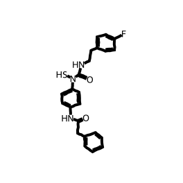 O=C(Cc1ccccc1)Nc1ccc(N(S)C(=O)NCCc2ccc(F)cc2)cc1